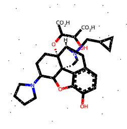 O=C(O)C(O)C(O[C@@]12CCC(N3CCCC3)C3Oc4c(O)ccc5c4[C@@]31CCN(CC1CC1)[C@@H]2C5)C(=O)O